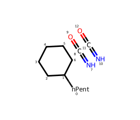 CCCCCC1CCCCC1.N=C=O.N=C=O